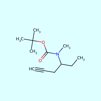 C#CCC(CC)N(C)C(=O)OC(C)(C)C